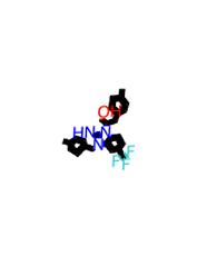 Cc1ccc(CC(CO)n2c(=N)n(Cc3ccc(C)cc3)c3cc(C(F)(F)F)ccc32)cc1